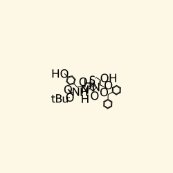 CC(C)(C)OC(=O)NC(C(=O)N[C@@H]1C(=O)N2C(C(=O)OC(c3ccccc3)c3ccccc3)=C(O)CS[C@@H]12)c1ccc(O)cc1